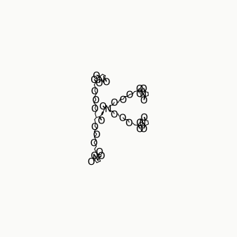 O=C(CCOCCOCCOCCC(CCOCCOCCOCCC(=O)ON1C(=O)CCC1=O)C(=O)C#CC(=O)N(CCOCCOCCOCCC(=O)ON1C(=O)CCC1=O)CCOCCOCCOCCC(=O)ON1C(=O)CCC1=O)ON1C(=O)CCC1=O